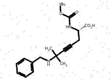 CC(C)(C#CC[C@H](NC(=O)OC(C)(C)C)C(=O)O)NCc1ccccc1